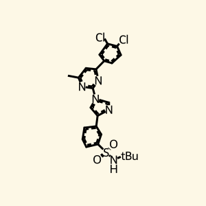 Cc1cc(-c2ccc(Cl)c(Cl)c2)nc(-n2cnc(-c3cccc(S(=O)(=O)NC(C)(C)C)c3)c2)n1